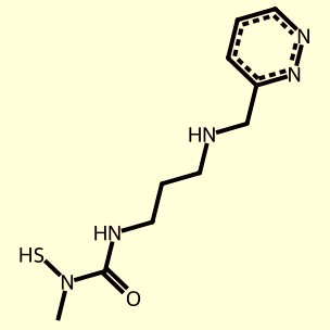 CN(S)C(=O)NCCCNCc1cccnn1